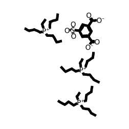 CCCC[P+](CC)(CCCC)CCCC.CCCC[P+](CC)(CCCC)CCCC.CCCC[P+](CC)(CCCC)CCCC.O=C([O-])c1cc(C(=O)[O-])cc(S(=O)(=O)[O-])c1